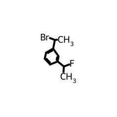 CC(F)c1cccc(C(C)Br)c1